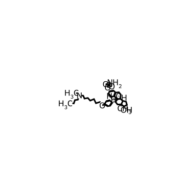 CCCCN(C)CCCCCCCOc1ccc([C@H]2C[C@@]3(C)[C@@H](CC[C@@H]3O)[C@]3(C)CCc4cc(OS(N)(=O)=O)ccc4[C@@H]23)cc1